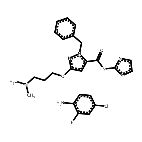 CN(C)CCCOc1cc(C(=O)Nc2nccs2)n(Cc2ccccc2)n1.Nc1ccc(Cl)cc1F